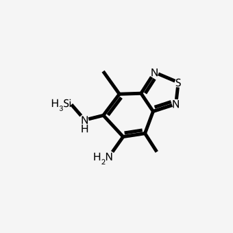 Cc1c(N)c(N[SiH3])c(C)c2nsnc12